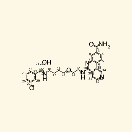 NC(=O)c1ccc2c(c1)nc(NCCOCCCCN[C@@H](CO)c1cccc(Cl)c1)c1ccncc12